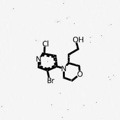 OCCC1COCCN1c1cc(Cl)ncc1Br